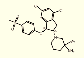 CCCC1(N)CCCN([C@H]2Cc3c(Cl)cc(Cl)cc3[C@@H]2Oc2ccc(S(C)(=O)=O)cc2)C1